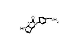 NCc1ccc(-n2cc3cc[nH]c3nc2=O)cc1